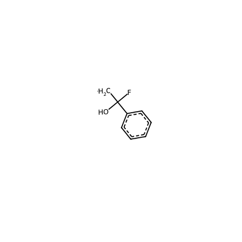 [CH2]C(O)(F)c1ccccc1